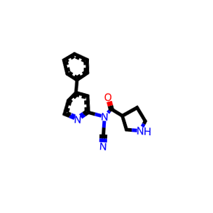 N#CN(C(=O)C1CCNC1)c1cc(-c2ccccc2)ccn1